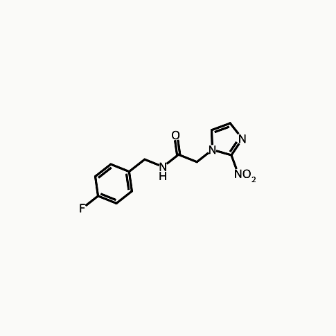 O=C(Cn1ccnc1[N+](=O)[O-])NCc1ccc(F)cc1